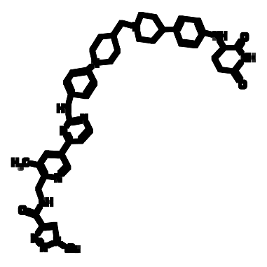 Cc1cc(-c2ccnc(Nc3ccc(N4CCC(CN5CCC(c6ccc(NC7CCC(=O)NC7=O)cc6)CC5)CC4)cc3)n2)cnc1CNC(=O)c1cn(C(C)(C)C)nn1